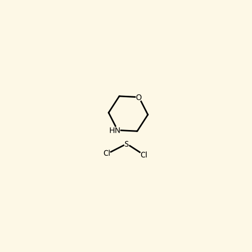 C1COCCN1.ClSCl